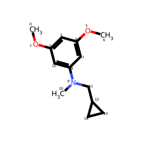 COc1cc(OC)cc(N(C)CC2CC2)c1